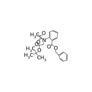 CC(C)(C)OC(=O)CN(c1ccccc1C(=O)OCc1ccccc1)S(C)(=O)=O